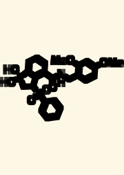 COc1ccc(CNC(=O)c2cccc3c2C(S(=O)(=O)c2ccccc2)CS3(O)O)c(OC)c1